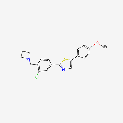 CC(C)Oc1ccc(-c2cnc(-c3ccc(CN4CCC4)c(Cl)c3)s2)cc1